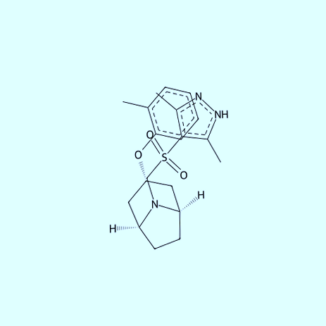 Cc1ccccc1O[C@@H]1C[C@H]2CC[C@@H](C1)N2CS(=O)(=O)c1c(C)n[nH]c1C